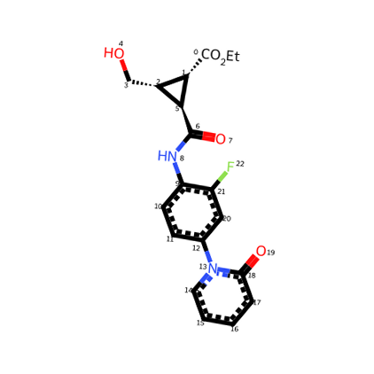 CCOC(=O)[C@H]1[C@@H](CO)[C@@H]1C(=O)Nc1ccc(-n2ccccc2=O)cc1F